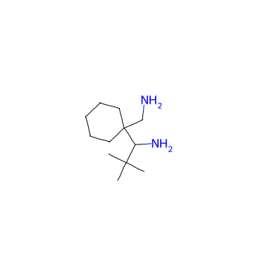 CC(C)(C)C(N)C1(CN)CCCCC1